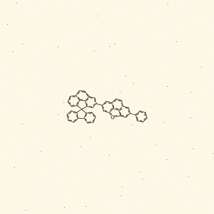 c1ccc(-c2cc3ccc4cc(-c5cc6c7c(ccc8cccc(c87)C67c6ccccc6-c6ccccc67)c5)cc5oc(c2)c3c45)cc1